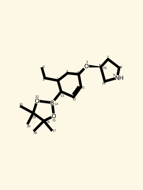 CCC1CC(O[C@H]2CCNC2)C=CC1B1OC(C)(C)C(C)(C)O1